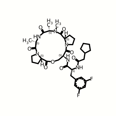 C[C@@H]1NC(=O)[C@H](C)N(C)C(=O)[C@@H]2CCCN2C(=O)[C@@H](NC(=O)[C@H](Cc2cc(F)cc(F)c2)NC(=O)CC2CCCC2)COC(=O)[C@@H]2CCCN2C1=O